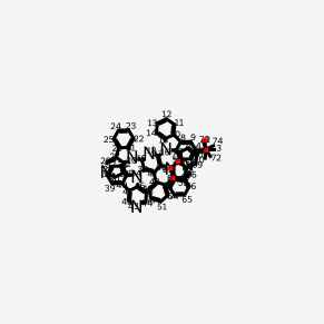 CC(C)(C)c1ccc2c(c1)c1ccccc1n2-c1nc(-n2c3ccccc3c3cnccc32)c(-n2c3ccccc3c3cnccc32)c(-c2ccccc2-c2ccncc2)c1-n1c2ccccc2c2cc(C(C)(C)C)ccc21